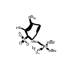 CCCC[P+](C)(CCCC)CCCC.CCCCc1cccc(S(=O)(=O)[O-])c1CCCC